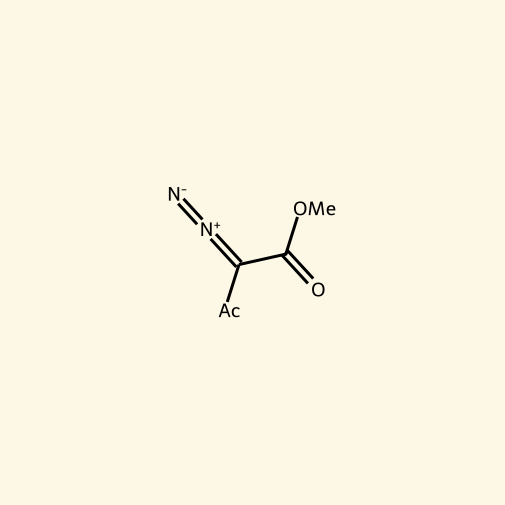 COC(=O)C(=[N+]=[N-])C(C)=O